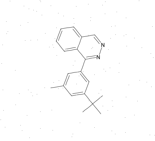 Cc1cc(-c2nncc3ccccc23)cc(C(C)(C)C)c1